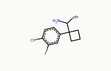 CCCC(N)C1(c2ccc(Cl)c(F)c2)CCC1